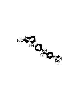 O=C(N[C@H]1CC[C@@H](Nc2cccc3nc(C(F)(F)F)cn23)CC1)c1ccc(-n2cnnn2)cc1